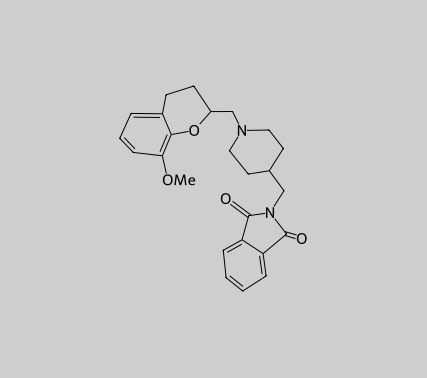 COc1cccc2c1OC(CN1CCC(CN3C(=O)c4ccccc4C3=O)CC1)CC2